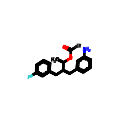 CCC(=O)OC(C)C(Cc1cccc(N)c1)Cc1cccc(F)c1